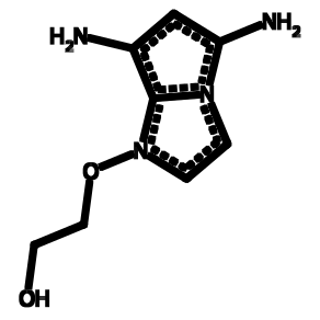 Nc1cc(N)n2ccn(OCCO)c12